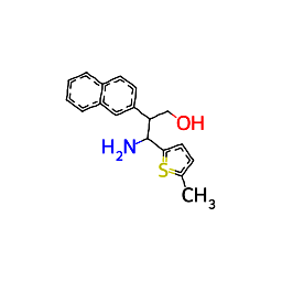 Cc1ccc(C(N)C(CO)c2ccc3ccccc3c2)s1